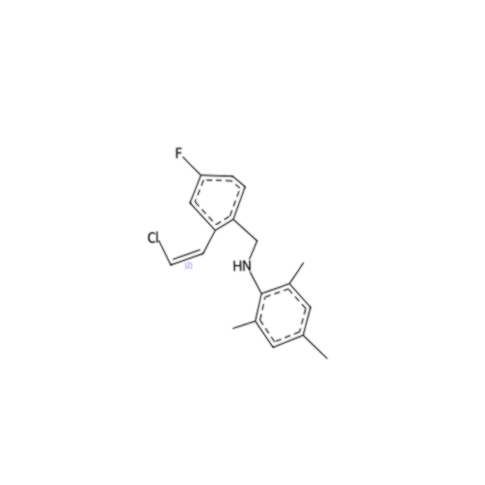 Cc1cc(C)c(NCc2ccc(F)cc2/C=C\Cl)c(C)c1